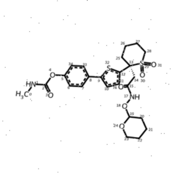 CNC(=O)Oc1ccc(-c2ccc([C@@]3(CC(=O)NOC4CCCCO4)CCCCS3(=O)=O)s2)cc1